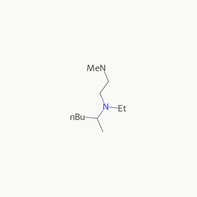 CCCCC(C)N(CC)CCNC